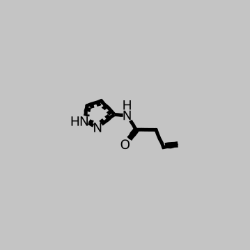 C=CCC(=O)Nc1cc[nH]n1